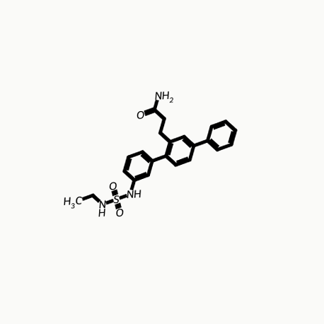 CCNS(=O)(=O)Nc1cccc(-c2ccc(-c3ccccc3)cc2CCC(N)=O)c1